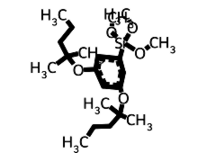 CCCC(C)(C)Oc1cc(OC(C)(C)CCC)cc([Si](OC)(OC)OC)c1